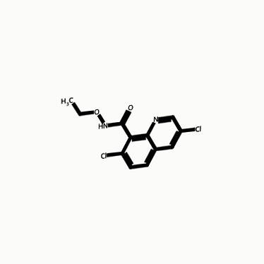 CCONC(=O)c1c(Cl)ccc2cc(Cl)cnc12